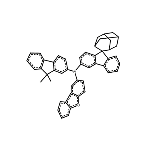 CC1(C)c2ccccc2-c2ccc(N(c3ccc4c(c3)-c3ccccc3C43C4CC5CC(C4)CC3C5)c3ccc4oc5ccccc5c4c3)cc21